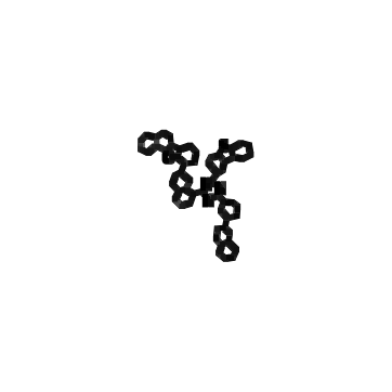 c1cc(-c2ccc3ccccc3c2)cc(-c2nc(-c3ccc4sc5ccccc5c4c3)nc(-c3cccc4ccc(-c5cccc6c5oc5c7ccccc7ccc65)cc34)n2)c1